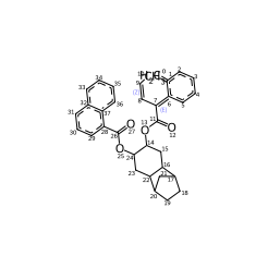 C=c1cccc/c1=C(/C=C\C)C(=O)OC1CC2C3CCC(C3)C2CC1OC(=O)c1cccc2ccccc12